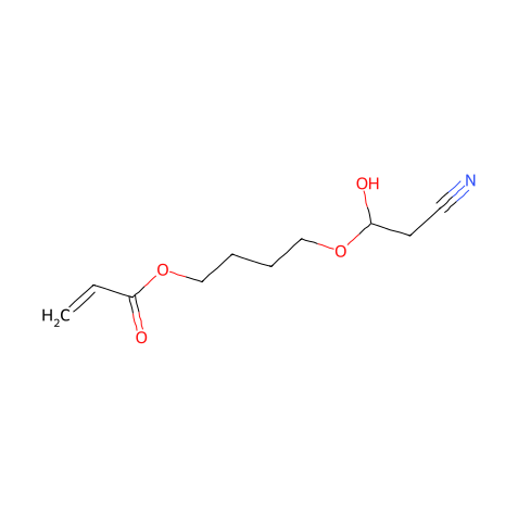 C=CC(=O)OCCCCOC(O)CC#N